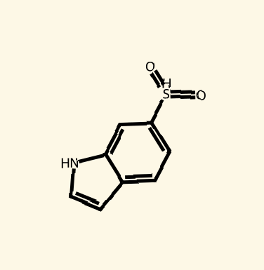 O=[SH](=O)c1ccc2cc[nH]c2c1